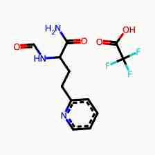 NC(=O)C(CCc1ccccn1)NC=O.O=C(O)C(F)(F)F